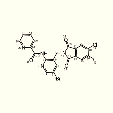 O=C(Nc1ncc(Br)cc1CN1C(=O)c2cc(Cl)c(Cl)cc2C1=O)c1ccccn1